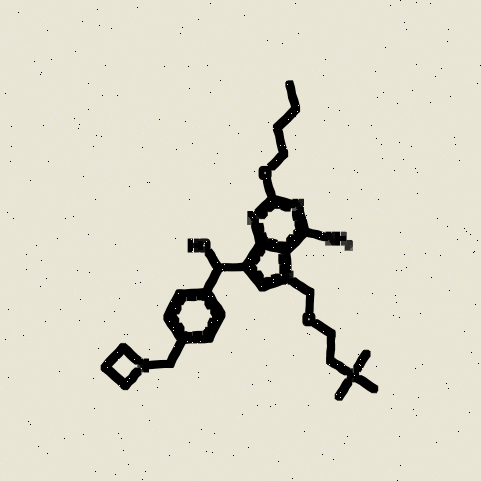 CCCCOc1nc(N)c2c(n1)c(C(O)c1ccc(CN3CCC3)cc1)cn2COCC[Si](C)(C)C